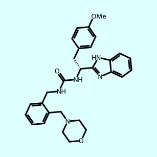 COc1ccc(C[C@@H](NC(=O)NCc2ccccc2CN2CCOCC2)c2nc3ccccc3[nH]2)cc1